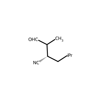 CC(C)C[C@H](C#N)C(C)C=O